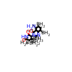 Bc1cc(B)c2nc(C)n(C3C(=O)NC(=O)C(B)(B)C3(B)B)c(=O)c2c1N